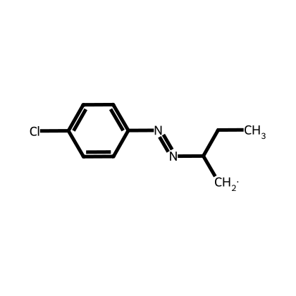 [CH2]C(CC)N=Nc1ccc(Cl)cc1